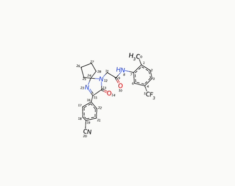 Cc1ccc(C(F)(F)F)cc1NC(=O)CN1C(=O)C(c2ccc(C#N)cc2)=NC12CCCC2